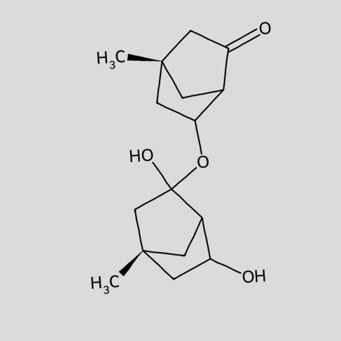 C[C@@]12CC(=O)C(C1)C(OC1(O)C[C@@]3(C)CC(O)C1C3)C2